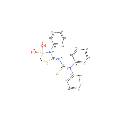 OS1(O)CSC(=NC(=S)N(c2ccccc2)c2ccccc2)N1c1ccccc1